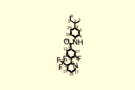 CCC(C)c1ccc(NC(=O)c2ccc(-c3ncccc3C(F)(F)F)c(F)c2)cc1